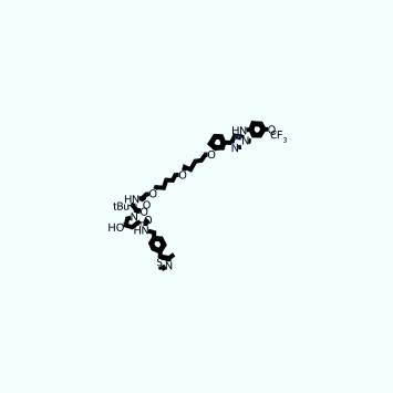 C=N/C(=C\C(=N/C)c1cccc(OCCCCCOCCCCCOCC(=O)N[C@H](C(=O)N2C[C@H](O)C[C@H]2C(=O)NCc2ccc(-c3scnc3C)cc2)C(C)(C)C)c1)Nc1ccc(OC(F)(F)F)cc1